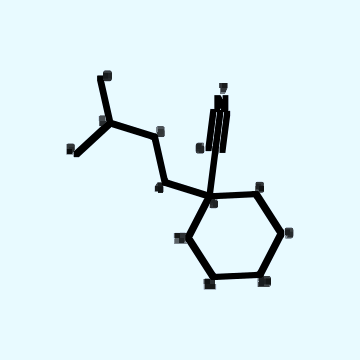 CC(C)CCC1(C#N)CCCCC1